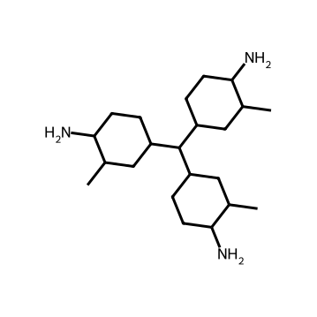 CC1CC(C(C2CCC(N)C(C)C2)C2CCC(N)C(C)C2)CCC1N